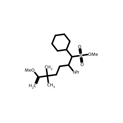 C=C(OC)C(C)(C)CCC(CCC)C(C1CCCCC1)S(=O)(=O)OC